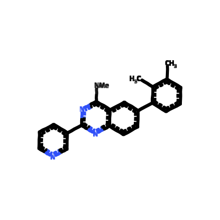 CNc1nc(-c2cccnc2)nc2ccc(-c3cccc(C)c3C)cc12